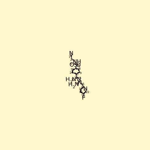 N#CCNS(=O)(=O)c1ccc(/C(N)=N/N(N)Cc2ccc(F)cn2)cc1